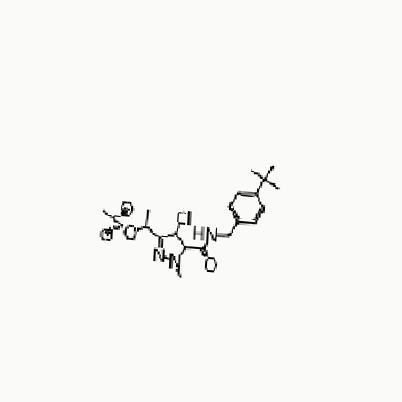 CC(OS(C)(=O)=O)C1=NN(C)C(C(=O)NCc2ccc(C(C)(C)C)cc2)C1Cl